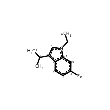 CCn1cc(C(C)C)c2ccc(F)cc21